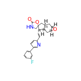 O=C1NCC2(C[C@@H]3C[C@H]4O[C@H]4C[C@H]3[C@@H]2C=Cc2ccc(-c3cccc(F)c3)cn2)O1